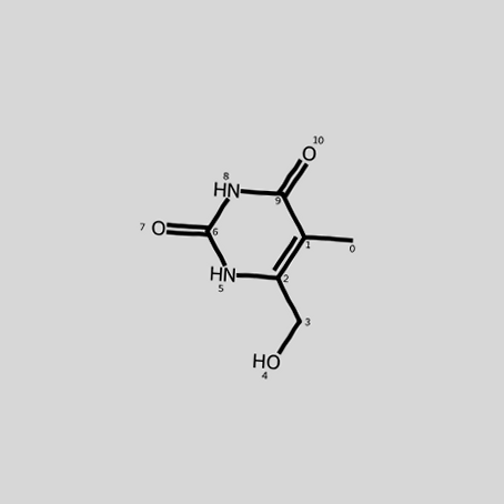 Cc1c(CO)[nH]c(=O)[nH]c1=O